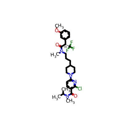 COc1cccc([C@@H](C(=O)N(C)CCCC2CCN(c3ccc(C(=O)N(C)C(C)C)c(Cl)n3)CC2)C(F)(F)F)c1